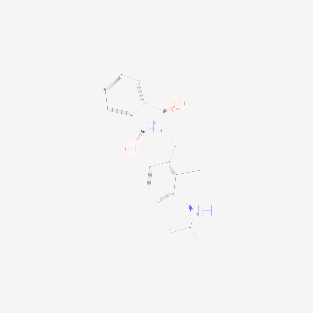 Cc1c(CN2C(=O)c3ccccc3C2=O)cccc1NC(C)C